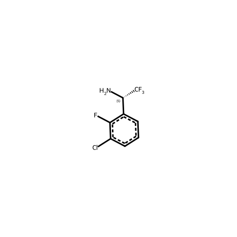 N[C@@H](c1cccc(Cl)c1F)C(F)(F)F